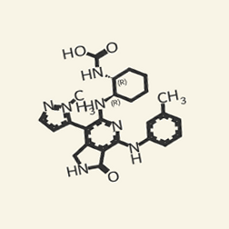 Cc1cccc(Nc2nc(N[C@@H]3CCCC[C@H]3NC(=O)O)c(-c3ccnn3C)c3c2C(=O)NC3)c1